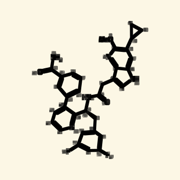 COc1nc2c(CC(=O)N[C@@H](Cc3cc(F)cc(F)c3)c3ncccc3-c3cccc(C(N)=O)c3)c[nH]c2cc1C1CC1